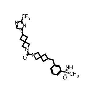 CS(=N)(=O)c1cccc(CC2CC3(C2)CN(C(=O)N2CC4(CC(n5cnc(C(F)(F)F)n5)C4)C2)C3)c1